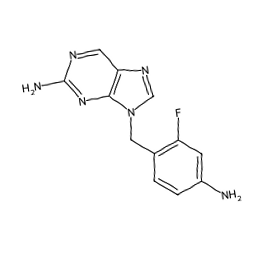 Nc1ccc(Cn2cnc3cnc(N)nc32)c(F)c1